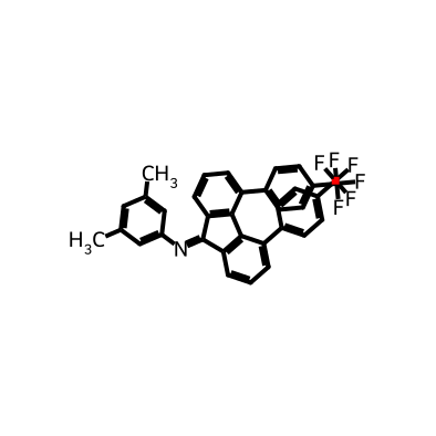 Cc1cc(C)cc(N=C2c3cccc(-c4ccc(C(F)(F)F)cc4)c3-c3c2cccc3-c2ccc(C(F)(F)F)cc2)c1